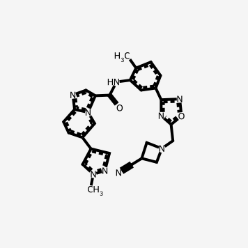 Cc1ccc(-c2noc(CN3CC(C#N)C3)n2)cc1NC(=O)c1cnc2ccc(-c3cnn(C)c3)cn12